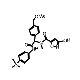 COCc1ccc(C(C(=O)Nc2ccc(S(C)(C)C)cc2)N(C)C(=O)c2cc(O)no2)cc1